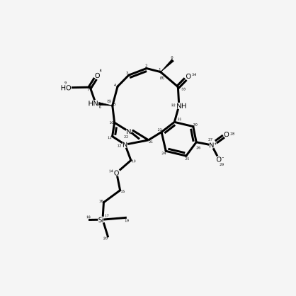 C[C@@H]1C=CC[C@H](NC(=O)O)c2cn(COCC[Si](C)(C)C)c(n2)-c2ccc([N+](=O)[O-])cc2NC1=O